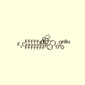 CCCCOC(=O)Oc1ccc(S2(OS(=O)(=O)C(F)(F)C(F)(F)C(F)(F)C(F)(F)C(F)(F)C(F)(F)C(F)(F)C(F)(F)F)CCCC2)c2ccccc12